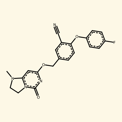 CN1CCn2c1cc(OCc1ccc(Oc3ccc(F)cc3)c(C#N)c1)nc2=O